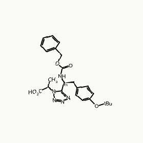 CC(C(=O)O)n1nnnc1[C@H](Cc1ccc(OC(C)(C)C)cc1)NC(=O)OCc1ccccc1